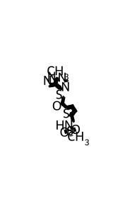 Cn1ncc2c(SCC(=O)c3ccc(CNS(C)(=O)=O)s3)ncnc21